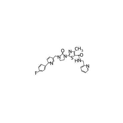 Cc1nc(N2CCN(Cc3ccc(-c4ccc(F)cc4)nc3)C2=O)sc1C(=O)NCc1ccccn1